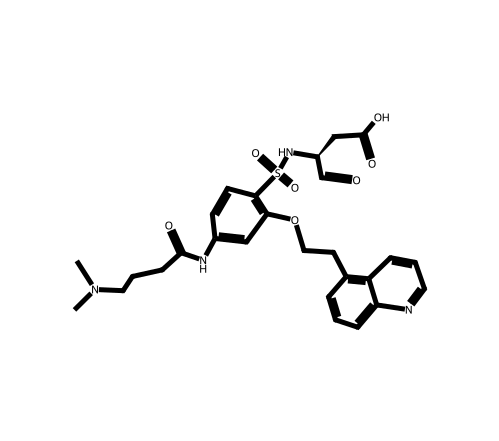 CN(C)CCCC(=O)Nc1ccc(S(=O)(=O)N[C@H](C=O)CC(=O)O)c(OCCc2cccc3ncccc23)c1